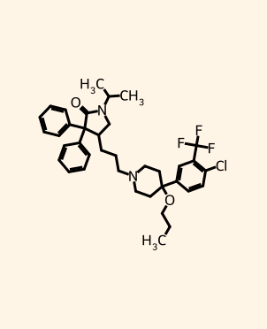 CCCOC1(c2ccc(Cl)c(C(F)(F)F)c2)CCN(CCCC2CN(C(C)C)C(=O)C2(c2ccccc2)c2ccccc2)CC1